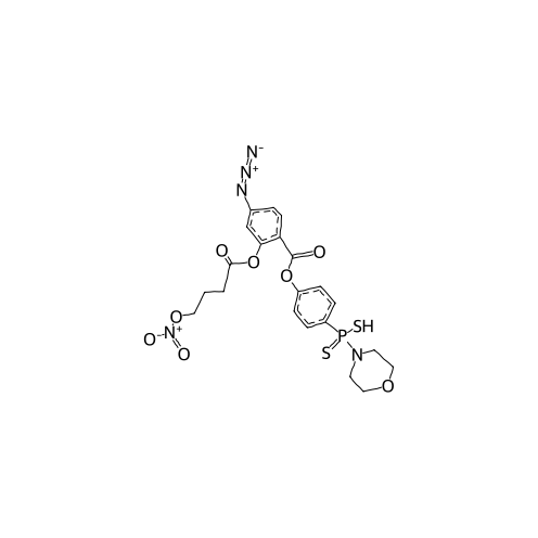 [N-]=[N+]=Nc1ccc(C(=O)Oc2ccc(P(=S)(S)N3CCOCC3)cc2)c(OC(=O)CCCO[N+](=O)[O-])c1